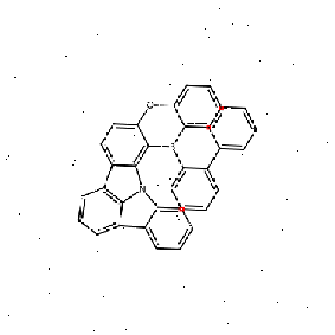 c1ccc(-c2ccccc2B2c3ccccc3Oc3ccc4c5cccc6c7ccccc7n(c4c32)c65)cc1